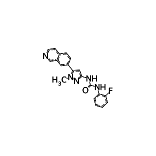 Cn1nc(NC(=O)Nc2ccccc2F)cc1-c1ccc2ccncc2c1